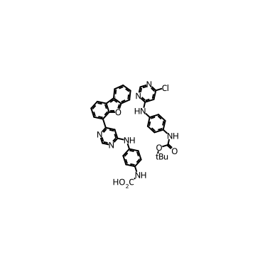 CC(C)(C)OC(=O)Nc1ccc(Nc2cc(Cl)ncn2)cc1.O=C(O)Nc1ccc(Nc2cc(-c3cccc4c3oc3ccccc34)ncn2)cc1